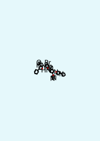 COc1cc(N2CCC(N3CCCCC3)CC2)c(-c2cnn(C)c2)cc1Nc1ncc(Br)c(Nc2ccc(-c3ccccc3)cc2P(C)(C)=O)n1